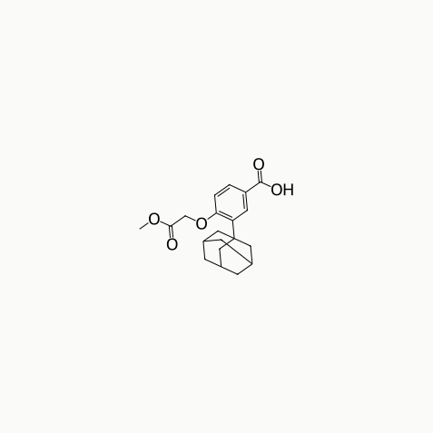 COC(=O)COc1ccc(C(=O)O)cc1C12CC3CC(CC(C3)C1)C2